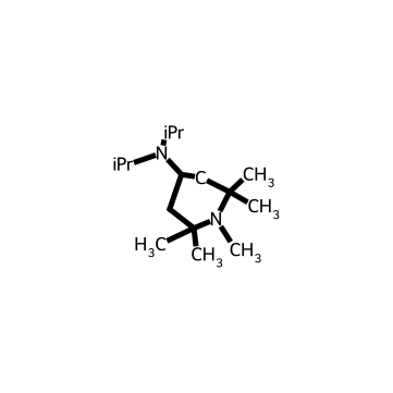 CC(C)N(C(C)C)C1CC(C)(C)N(C)C(C)(C)C1